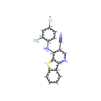 N#Cc1cnc2c(sc3ccccc32)c1Nc1ccc(Cl)cc1Cl